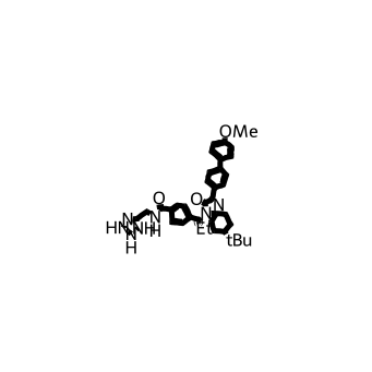 CC[C@H](c1ccc(C(=O)NCC2=NNNN2)cc1)N1C(=O)C(c2ccc(-c3ccc(OC)cc3)cc2)=NC12CCC(C(C)(C)C)CC2